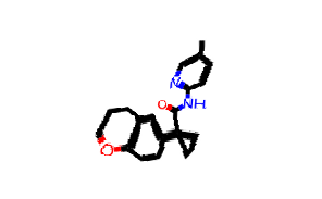 Cc1ccc(NC(=O)C2(c3ccc4c(c3)CCCO4)CC2)nc1